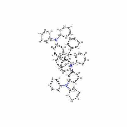 C1=Cc2c(n(-c3ccccc3)c3cc(N(c4ccccc4)c4ccccc4[Si](c4ccccc4)(c4ccccc4)c4cccc(N(c5ccccc5)c5ccccc5)c4)ccc23)CC1